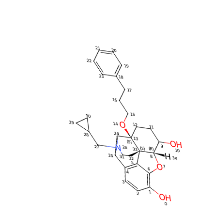 Oc1ccc2c3c1O[C@H]1C(O)CC[C@@]4(OCCCc5ccccc5)C(C2)N(CC2CC2)CC[C@]314